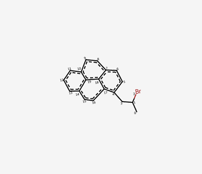 CC(Br)Cc1ccc2ccc3cccc4ccc1c2c34